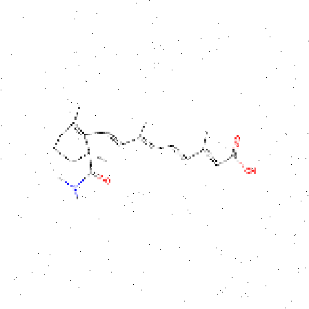 CC1=C(/C=C/C(C)=C/C=C/C(C)=C/C(=O)O)[C@@](C)(C(=O)N(C)C)CCC1